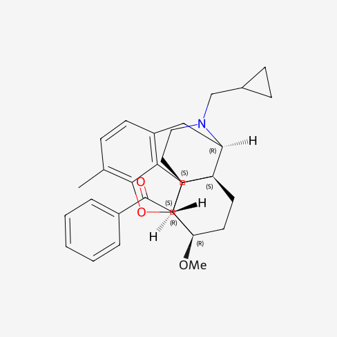 CO[C@]12CC[C@@]3(C[C@@H]1C(=O)c1ccccc1)[C@H]1Cc4ccc(C)c5c4[C@@]3(CCN1CC1CC1)[C@H]2O5